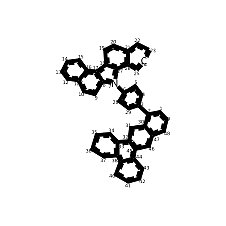 c1cc(-c2ccc(-n3c4ccc5ccccc5c4c4ccc5ccccc5c43)cc2)c2cc3c4ccccc4c4ccccc4c3cc2c1